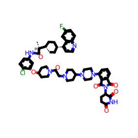 C[C@@H](C(=O)Nc1ccc(Cl)c(OC2CCN(C(=O)CN3CCC(N4CCN(c5cccc6c5C(=O)N(C5CCC(=O)NC5=O)C6=O)CC4)CC3)CC2)c1)[C@H]1CC[C@@H](c2ccnc3ccc(F)cc32)CC1